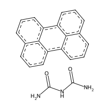 NC(=O)NC(N)=O.c1cc2cccc3c4cccc5cccc(c(c1)c23)c54